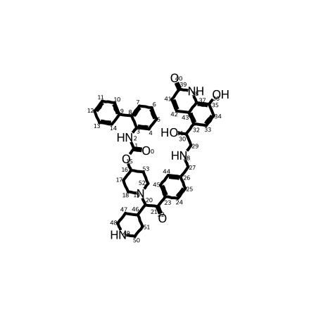 O=C(Nc1ccccc1-c1ccccc1)OC1CCN(C(C(=O)c2ccc(CNCC(O)c3ccc(O)c4[nH]c(=O)ccc34)cc2)C2CCNCC2)CC1